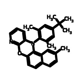 Cc1ccc2ccc3c(c2c1)N(c1c(C)cc(C(C)(C)C)cc1C)c1cccnc1O3